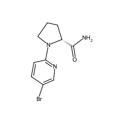 NC(=O)[C@H]1CCCN1c1ccc(Br)cn1